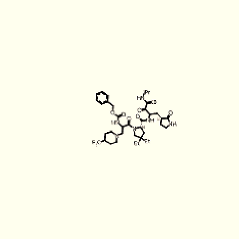 CCC1(CC)C[C@@H](C(=O)NC(C[C@@H]2CCNC2=O)C(=O)C(=O)NC(C)C)N(C(=O)C(CN2CCC(C(F)(F)F)CC2)NC(=O)OCc2ccccc2)C1